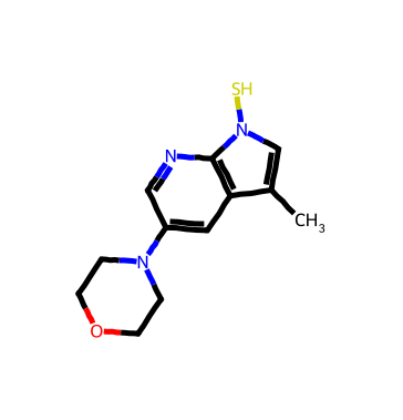 Cc1cn(S)c2ncc(N3CCOCC3)cc12